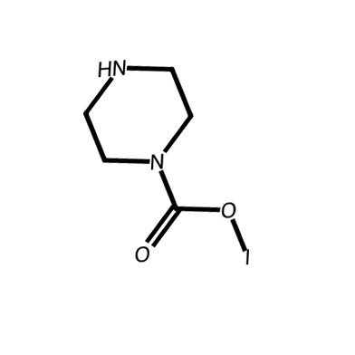 O=C(OI)N1CCNCC1